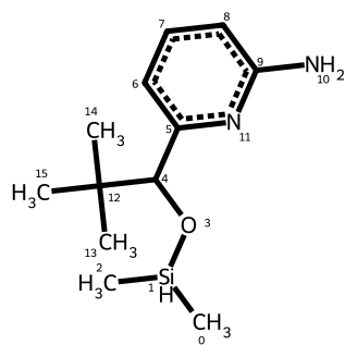 C[SiH](C)OC(c1cccc(N)n1)C(C)(C)C